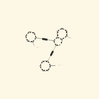 COc1ccccc1C#Cc1oc2c(Cl)cccc2c1C#Cc1ccccc1OC